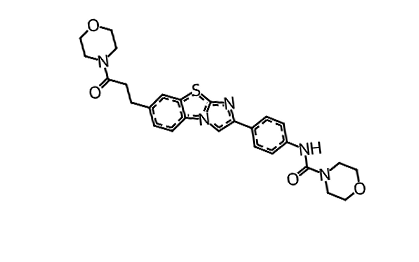 O=C(CCc1ccc2c(c1)sc1nc(-c3ccc(NC(=O)N4CCOCC4)cc3)cn12)N1CCOCC1